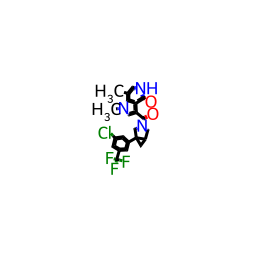 Cc1c[nH]c(=O)c2c(C(=O)N3CC4CC4(c4cc(Cl)cc(C(F)(F)F)c4)C3)cn(C)c12